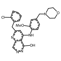 COc1cc(CN2CCOCC2)ccc1Nc1cc(Cc2ccccc2Cl)nc2cnnc(O)c12